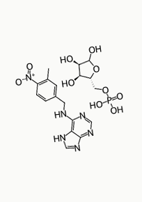 Cc1cc(CNc2ncnc3nc[nH]c23)ccc1[N+](=O)[O-].O=P(O)(O)OC[C@H]1OC(O)[C@H](O)[C@@H]1O